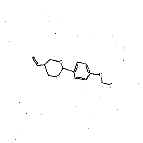 C=CC1COC(c2ccc(OCF)cc2)OC1